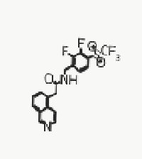 O=C(Cc1cccc2cnccc12)NCc1ccc(S(=O)(=O)C(F)(F)F)c(F)c1F